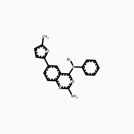 Cc1ccc(-c2ccc3nc(N)nc(N(Br)c4ccccc4)c3c2)s1